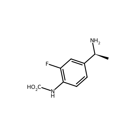 C[C@H](N)c1ccc(NC(=O)O)c(F)c1